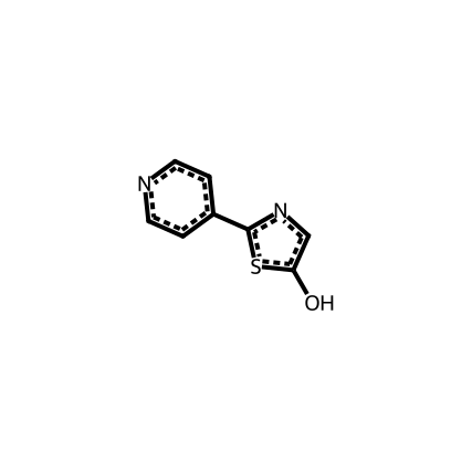 Oc1cnc(-c2ccncc2)s1